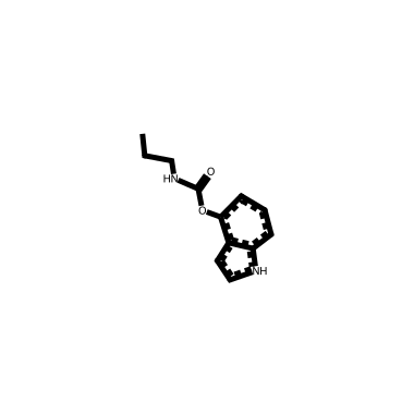 CCCNC(=O)Oc1cccc2[nH]ccc12